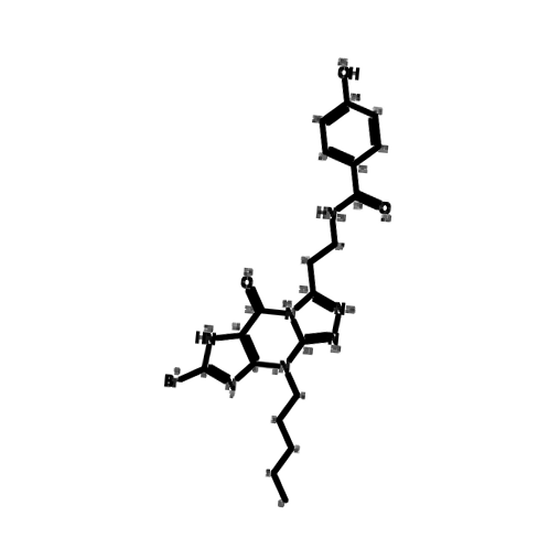 CCCCCn1c2nc(Br)[nH]c2c(=O)n2c(CCNC(=O)c3ccc(O)cc3)nnc12